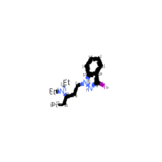 CCN(CC)C(CCn1nc(I)c2ccccc21)CC(C)C